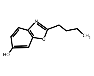 CCCCc1nc2ccc(O)cc2o1